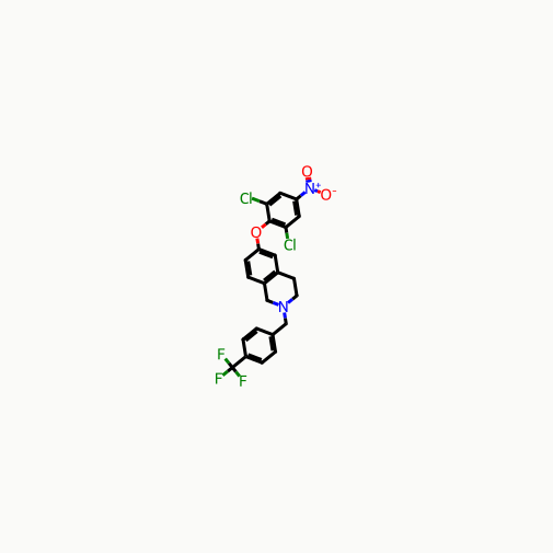 O=[N+]([O-])c1cc(Cl)c(Oc2ccc3c(c2)CCN(Cc2ccc(C(F)(F)F)cc2)C3)c(Cl)c1